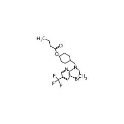 CCCC(=O)OC1CCC(CN(CC)c2ncc(C(F)(F)F)cc2Br)CC1